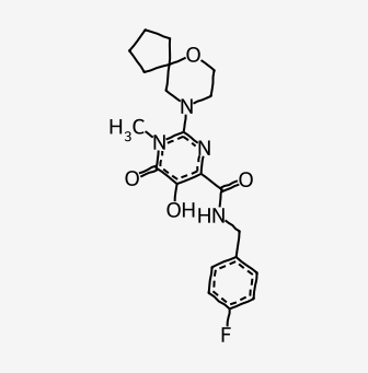 Cn1c(N2CCOC3(CCCC3)C2)nc(C(=O)NCc2ccc(F)cc2)c(O)c1=O